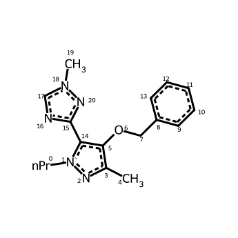 CCCn1nc(C)c(OCc2ccccc2)c1-c1ncn(C)n1